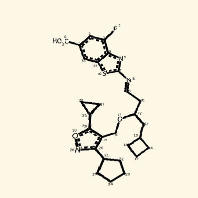 O=C(O)c1cc(F)c2nc(/N=C/CC(CC3CCC3)OCc3c(C4CCCC4)noc3C3CC3)sc2c1